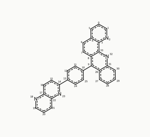 c1cnc2c(c1)ccc1c(-c3ccc(-c4ccc5ncccc5n4)cc3)c3ccccc3nc12